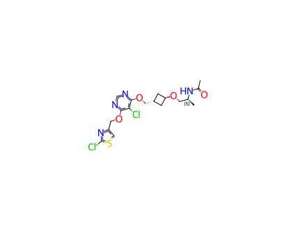 CC(=O)N[C@@H](C)CO[C@H]1C[C@H](COc2ncnc(OCc3csc(Cl)n3)c2Cl)C1